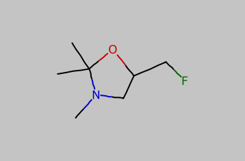 CN1CC(CF)OC1(C)C